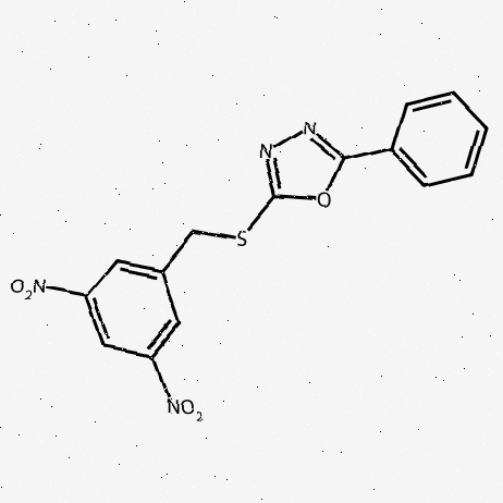 O=[N+]([O-])c1cc(CSc2nnc(-c3ccccc3)o2)cc([N+](=O)[O-])c1